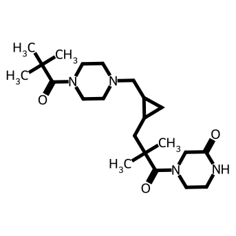 CC(C)(C)C(=O)N1CCN(CC2CC2CC(C)(C)C(=O)N2CCNC(=O)C2)CC1